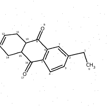 CCc1ccc2c(c1)C(=O)C1CC=CCC1C2=O